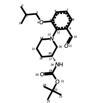 CC(C)COc1cccc(C=O)c1N1CCC[C@@H](NC(=O)OC(C)(C)C)C1